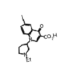 CCN1CCCC(n2cc(C(=O)O)c(=O)c3cc(I)ccc32)C1